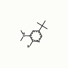 C[SiH](C)c1cc(C(C)(C)C)cnc1Br